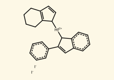 C1=C[CH]([Hf+2][CH]2C(c3ccccc3)=Cc3ccccc32)C2=C1CCCC2.[I-].[I-]